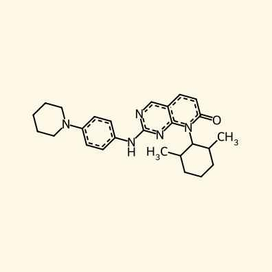 CC1CCCC(C)C1n1c(=O)ccc2cnc(Nc3ccc(N4CCCCC4)cc3)nc21